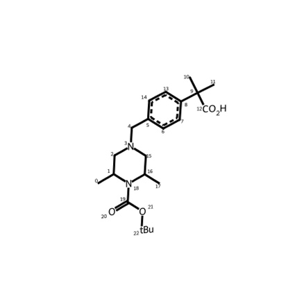 CC1CN(Cc2ccc(C(C)(C)C(=O)O)cc2)CC(C)N1C(=O)OC(C)(C)C